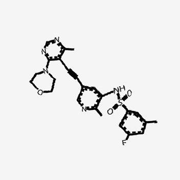 Cc1cc(F)cc(S(=O)(=O)Nc2cc(C#Cc3c(C)ncnc3N3CCOCC3)cnc2C)c1